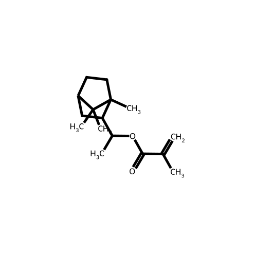 C=C(C)C(=O)OC(C)C1CC2CCC1(C)C2(C)C